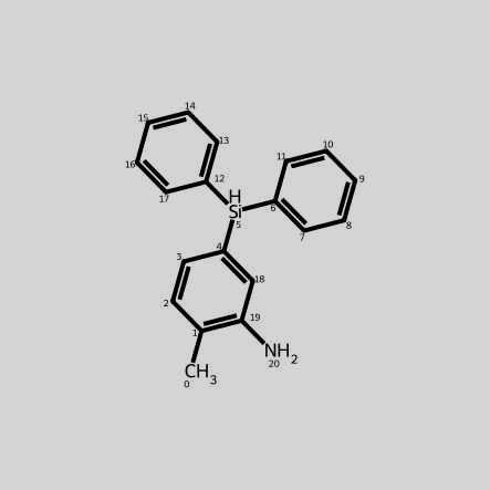 Cc1ccc([SiH](c2ccccc2)c2ccccc2)cc1N